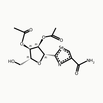 CC(=O)O[C@@H]1[C@H](OC(C)=O)[C@@H](CO)O[C@H]1c1nc(C(N)=O)c[se]1